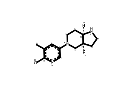 Cc1cc(N2CC[C@H]3NCC[C@H]3C2)cnc1Cl